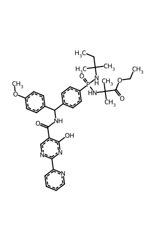 CCOC(=O)C(C)(C)NP(=O)(NC(C)(C)CC)c1ccc(C(NC(=O)c2cnc(-c3ccccn3)nc2O)c2ccc(OC)cc2)cc1